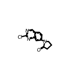 O=C1CCCN1c1ccc2cnc(Cl)nc2c1